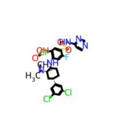 CN(C)[C@H]1C[C@@H](c2cc(Cl)cc(Cl)c2)CC[C@@H]1Nc1cc(F)c(S(=O)(=O)Nc2ccncn2)cc1Cl.O=CO